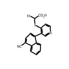 CCC(Sc1ccncc1-c1ccc(C#N)c2ccccc12)C(=O)O